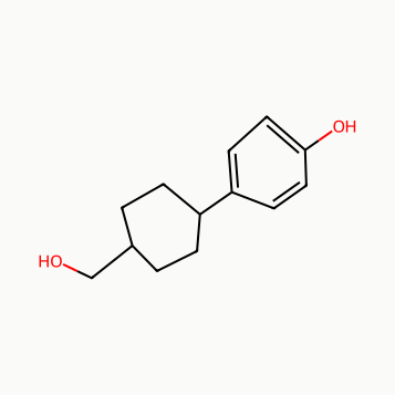 OCC1CCC(c2ccc(O)cc2)CC1